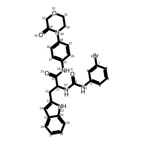 O=C(Nc1cccc(Br)c1)NC(Cc1cc2ccccc2[nH]1)C(=O)Nc1ccc(N2CCOCC2=O)cc1